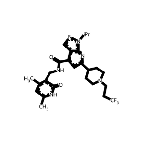 Cc1cc(C)c(CNC(=O)c2cc(C3CCN(CCC(F)(F)F)CC3)nc3c2cnn3C(C)C)c(=O)[nH]1